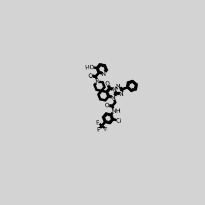 O=C(Cn1c2c(c(=O)n3nc(-c4ccccc4)nc13)C1(CCC2)CCN(C(=O)c2ncccc2O)CC1)Nc1ccc(C(F)(F)F)cc1Cl